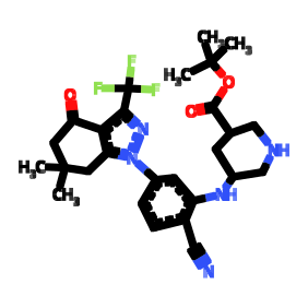 CC1(C)CC(=O)c2c(C(F)(F)F)nn(-c3ccc(C#N)c(NC4CNCC(C(=O)OC(C)(C)C)C4)c3)c2C1